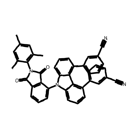 Cc1cc(C)c(N2C(=O)c3cccc(-n4c5cccc(-c6cccc(C#N)c6)c5c5c(-c6cccc(C#N)c6)cccc54)c3C2=O)c(C)c1